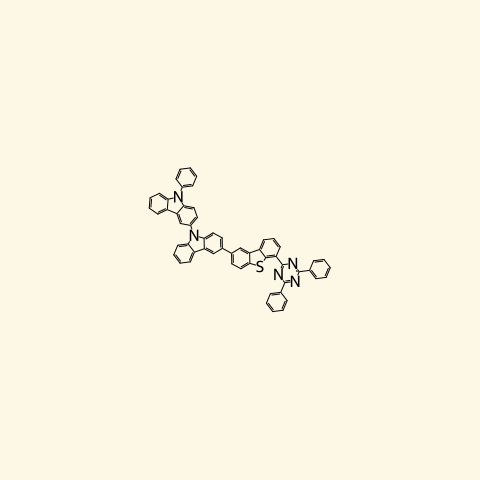 c1ccc(-c2nc(-c3ccccc3)nc(-c3cccc4c3sc3ccc(-c5ccc6c(c5)c5ccccc5n6-c5ccc6c(c5)c5ccccc5n6-c5ccccc5)cc34)n2)cc1